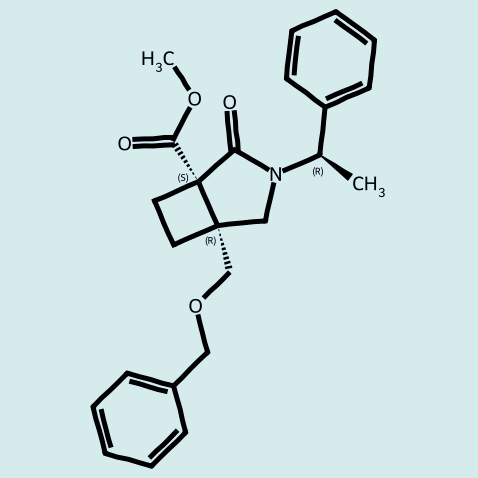 COC(=O)[C@@]12CC[C@]1(COCc1ccccc1)CN([C@H](C)c1ccccc1)C2=O